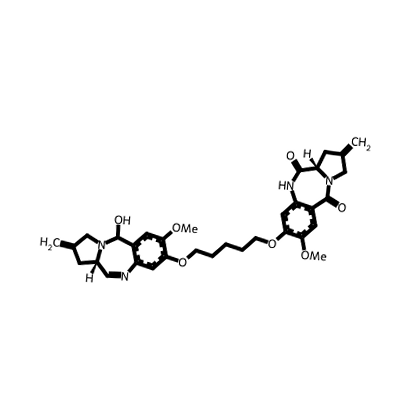 C=C1C[C@H]2C(=O)Nc3cc(OCCCCCOc4cc5c(cc4OC)C(O)N4CC(=C)C[C@H]4C=N5)c(OC)cc3C(=O)N2C1